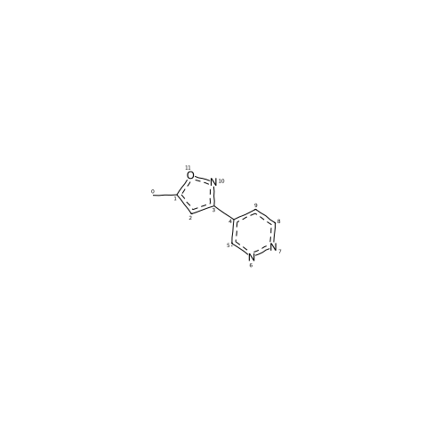 Cc1cc(-c2[c]nncc2)no1